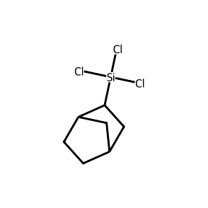 Cl[Si](Cl)(Cl)C1CC2CCC1C2